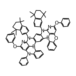 CC1(C)CCC(C)(C)c2cc(N3c4cc5c(cc4B4c6ccccc6Oc6cc(Oc7ccccc7)nc3c64)B3c4ccccc4N(c4ccccc4)c4cc(Oc6ccccc6)nc(c43)N5c3ccc4c(c3)C(C)(C)CCC4(C)C)ccc21